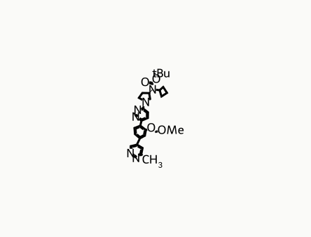 COCOc1cc(-c2cnnc(C)c2)ccc1-c1ccc(N2CC[C@H](N(C(=O)OC(C)(C)C)C3CCC3)C2)nn1